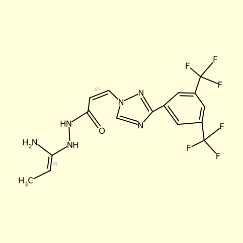 C/C=C(\N)NNC(=O)/C=C\n1cnc(-c2cc(C(F)(F)F)cc(C(F)(F)F)c2)n1